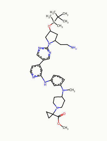 COC(=O)C1(N2CCC(N(C)c3cccc(Nc4cc(-c5cnc(N6CC(O[Si](C)(C)C(C)(C)C)CC6CCN)nc5)ccn4)c3)CC2)CC1